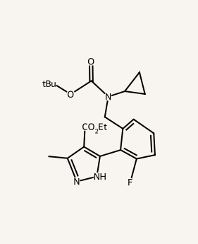 CCOC(=O)c1c(C)n[nH]c1-c1c(F)cccc1CN(C(=O)OC(C)(C)C)C1CC1